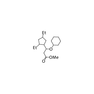 CCC1CC(CC)C(C(CC(=O)OC)OC2CCCCC2)C1